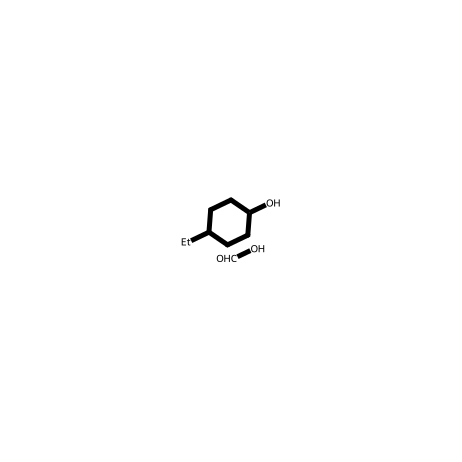 CCC1CCC(O)CC1.O=CO